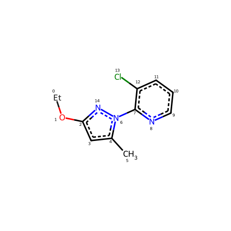 CCOc1cc(C)n(-c2ncccc2Cl)n1